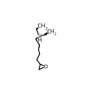 C=C[SiH](C=C)CCCCCC1CO1